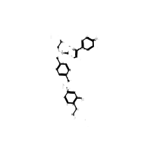 CCOC(=O)CCc1ccc(NCc2ccc(CN(CCC(C)C)c3nc(-c4ccc(C(F)(F)F)cc4)cs3)cc2)cc1F